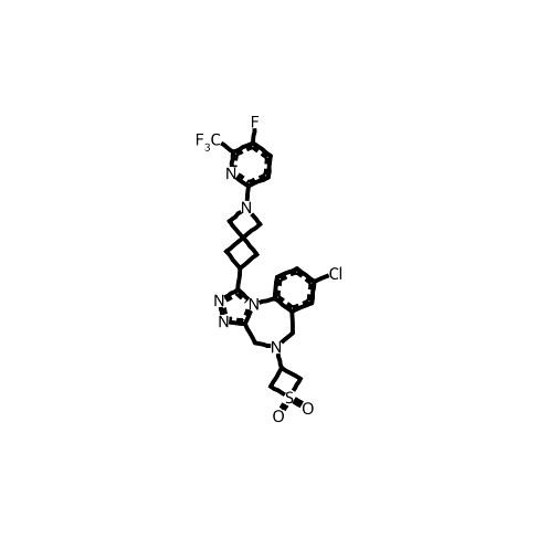 O=S1(=O)CC(N2Cc3cc(Cl)ccc3-n3c(nnc3C3CC4(C3)CN(c3ccc(F)c(C(F)(F)F)n3)C4)C2)C1